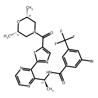 C[C@@H]1CN(C(=O)c2cnc(-c3nccnc3[C@H](C)NC(=O)c3cc(Br)cc(C(F)(F)F)c3)s2)C[C@H](C)O1